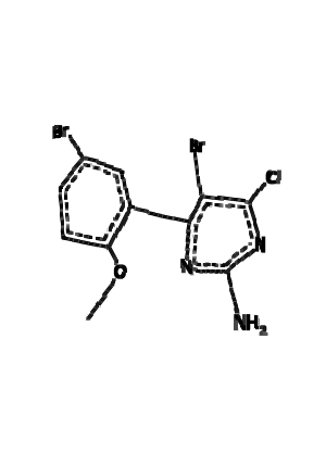 COc1ccc(Br)cc1-c1nc(N)nc(Cl)c1Br